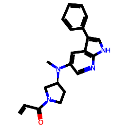 C=CC(=O)N1CC[C@H](N(C)c2cnc3[nH]cc(-c4ccccc4)c3c2)C1